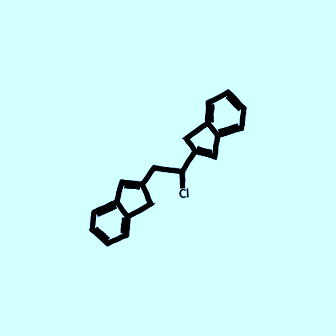 ClC(CC1=Cc2ccccc2[CH]1)C1=Cc2ccccc2[CH]1